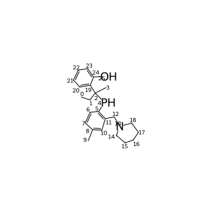 CCC(C)(Pc1ccc(C)cc1CN1CCCCC1)c1ccccc1O